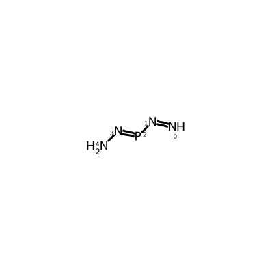 N=N/P=N/N